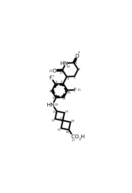 O=C1CCC(c2c(F)cc(NC3CC4(C3)CC(C(=O)O)C4)cc2F)C(=O)N1